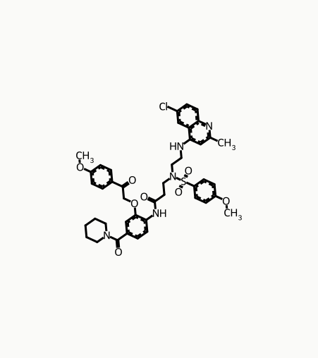 COc1ccc(C(=O)COc2cc(C(=O)N3CCCCC3)ccc2NC(=O)CCN(CCNc2cc(C)nc3ccc(Cl)cc23)S(=O)(=O)c2ccc(OC)cc2)cc1